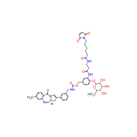 Cc1ccc2c(c1)N=C[C@@H]1CC(c3cccc(CNC(=O)OCc4ccc(O[C@@H]5OC(C(=O)O)[C@@H](O)[C@H](O)C5O)c(NC(=O)CCNC(=O)CCCCCN5C(=O)C=CC5=O)c4)c3)=CN1C2=O